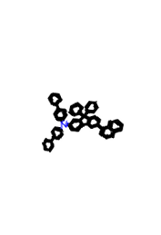 c1ccc(-c2ccc(N(c3ccc(-c4ccccc4)cc3)c3ccc4c(c3)C(c3ccccc3)(c3ccccc3)c3ccc(-c5cccc6ccccc56)cc3-4)cc2)cc1